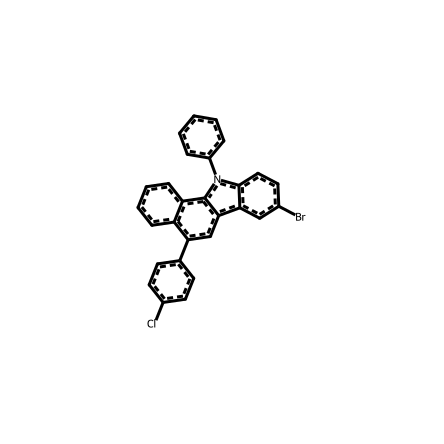 Clc1ccc(-c2cc3c4cc(Br)ccc4n(-c4ccccc4)c3c3ccccc23)cc1